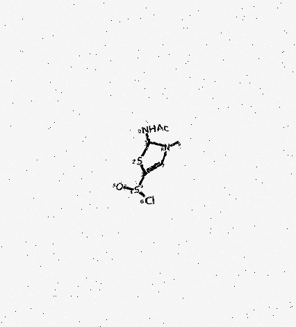 CC(=O)NC1SC([S+]([O-])Cl)=CN1C